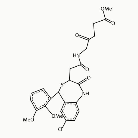 COC(=O)CCC(=O)CNC(=O)CC1SC(c2cccc(OC)c2OC)c2cc(Cl)ccc2NC1=O